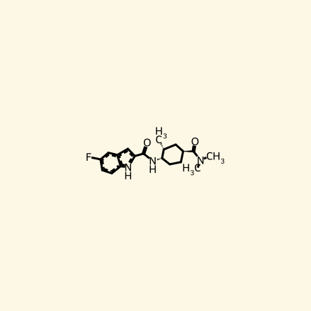 C[C@@H]1C[C@@H](C(=O)N(C)C)CC[C@@H]1NC(=O)c1cc2cc(F)ccc2[nH]1